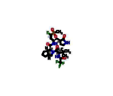 CC(C)(C)[C@@H](NC(=O)C(F)(F)F)C(=O)N1C[C@H]2CCC[C@H]2[C@@H]1C(=O)N[C@H](/C=C(/F)S(C)(=O)=O)C[C@@H]1CCNC1=O